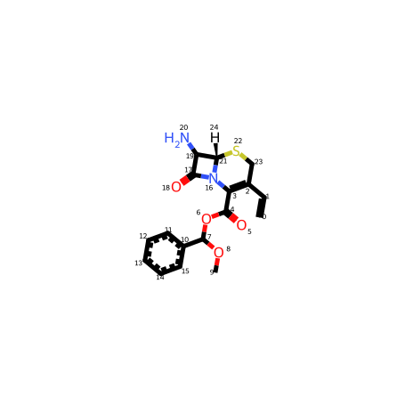 C=CC1=C(C(=O)OC(OC)c2ccccc2)N2C(=O)C(N)[C@@H]2SC1